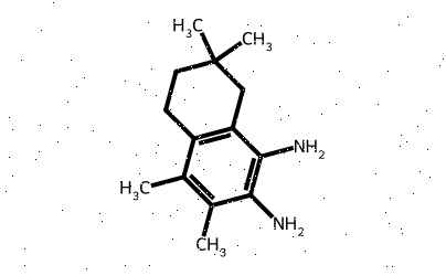 Cc1c(C)c2c(c(N)c1N)CC(C)(C)CC2